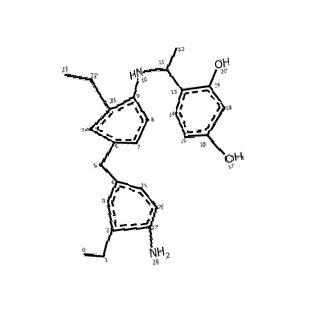 CCc1cc(Cc2ccc(NC(C)c3ccc(O)cc3O)c(CC)c2)ccc1N